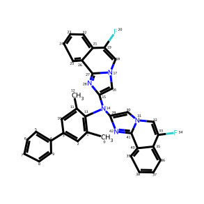 Cc1cc(-c2ccccc2)cc(C)c1N(c1cn2cc(F)c3ccccc3c2n1)c1cn2cc(F)c3ccccc3c2n1